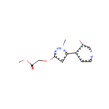 COC(=O)COc1cc(-c2ccncc2O)n(C)n1